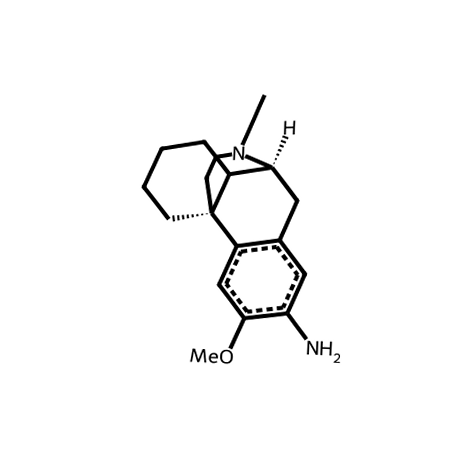 COc1cc2c(cc1N)C[C@H]1C3CCCC[C@@]23CCN1C